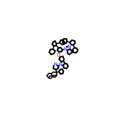 c1ccc(-c2cccc(-c3ccccc3)c2-c2cc(Oc3ccc4c5ccccc5n(-c5cc(C6(c7ccccc7)CC7CCC8CC7CC6C8)ccn5)c4c3)cc(-n3c[n+](-c4c(-c5ccccc5)cccc4-c4ccccc4)c4ccccc43)c2)cc1